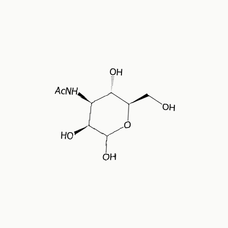 CC(=O)N[C@H]1[C@H](O)[C@@H](CO)OC(O)[C@H]1O